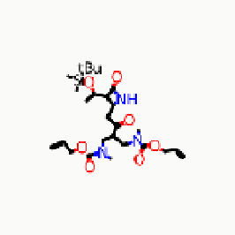 C=CCOC(=O)N(C)CC(CN(C)C(=O)OCC=C)C(=O)CC1NC(=O)C1C(C)O[Si](C)(C)C(C)(C)C